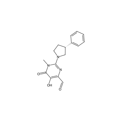 Cn1c(N2CC[C@H](c3ccccc3)C2)nc(C=O)c(O)c1=O